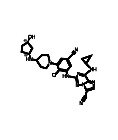 N#Cc1cc(Nc2nc(NC3CC3)c3ncc(C#N)n3n2)c(Cl)c(N2CCC(N[C@H]3CC[C@@H](O)C3)CC2)c1